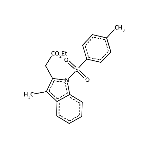 CCOC(=O)Cc1c(C)c2ccccc2n1S(=O)(=O)c1ccc(C)cc1